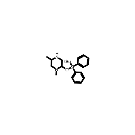 CC1CN(C)C(O[Si](c2ccccc2)(c2ccccc2)C(C)(C)C)CN1